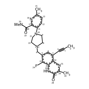 CC#Cc1cc(CN2CCN(c3ccc(C)nc3C(=O)NC)CC2)c(F)c2[nH]c(=O)c(C)nc12